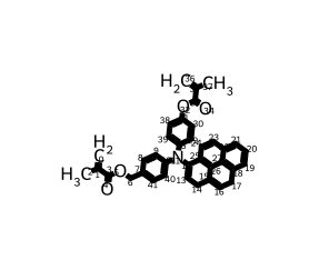 C=C(C)C(=O)OCc1ccc(N(C2=CCC3=CCc4cccc5ccc2c3c45)c2ccc(OC(=O)C(=C)C)cc2)cc1